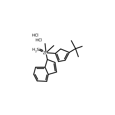 CC(C)(C)C1=CC=[C]([Zr]([CH3])([CH3])(=[SiH2])[CH]2C=Cc3ccccc32)C1.Cl.Cl